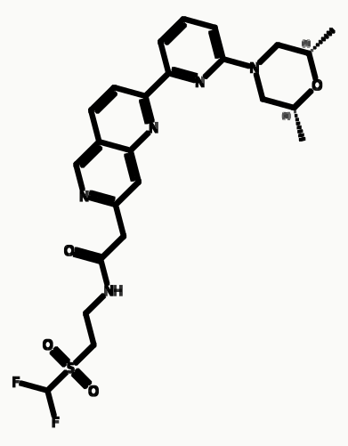 C[C@@H]1CN(c2cccc(-c3ccc4cnc(CC(=O)NCCS(=O)(=O)C(F)F)cc4n3)n2)C[C@H](C)O1